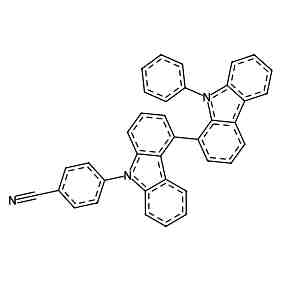 N#Cc1ccc(-n2c3ccccc3c3c(-c4cccc5c6ccccc6n(-c6ccccc6)c45)cccc32)cc1